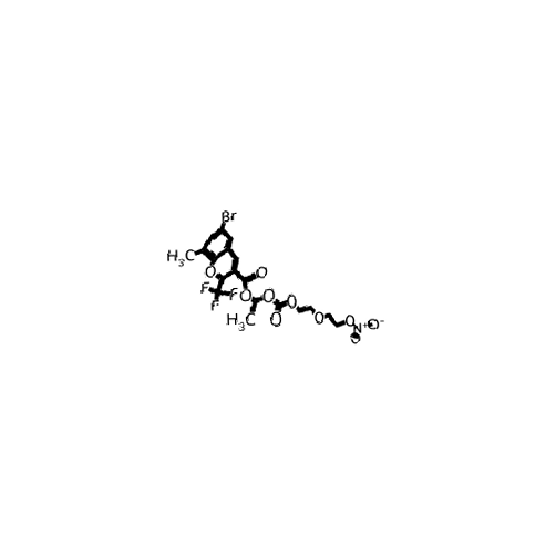 Cc1cc(Br)cc2c1OC(C(F)(F)F)C(C(=O)OC(C)OC(=O)OCCOCCO[N+](=O)[O-])=C2